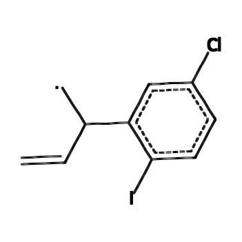 [CH2]C(C=C)c1cc(Cl)ccc1I